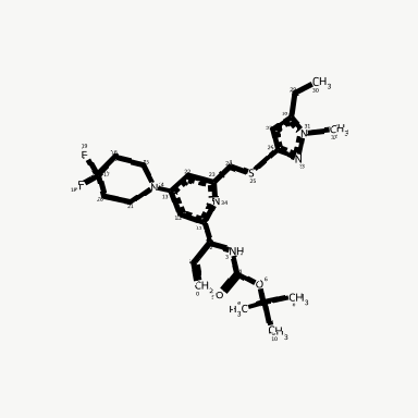 C=CC(NC(=O)OC(C)(C)C)c1cc(N2CCC(F)(F)CC2)cc(CSc2cc(CC)n(C)n2)n1